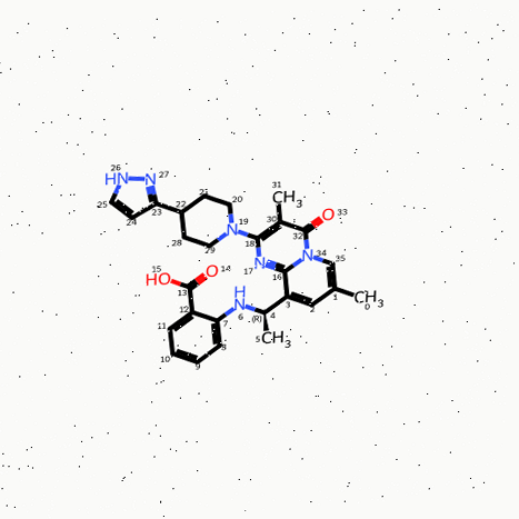 Cc1cc([C@@H](C)Nc2ccccc2C(=O)O)c2nc(N3CCC(c4cc[nH]n4)CC3)c(C)c(=O)n2c1